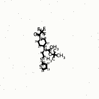 CC(C)(C)OC(=O)N(CCSc1cccs1)C1CCN(C(=O)C(F)(F)F)CC1